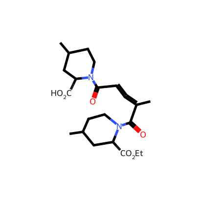 CCOC(=O)C1CC(C)CCN1C(=O)C(C)=C=CC(=O)N1CCC(C)CC1C(=O)O